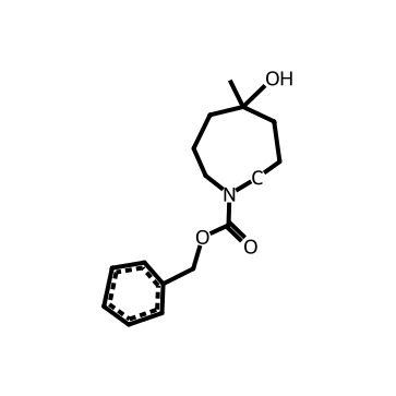 CC1(O)CCCN(C(=O)OCc2ccccc2)CCC1